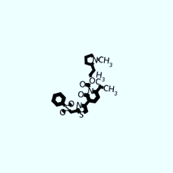 CC(C)c1ccc(-c2csc(CS(=O)(=O)c3ccccc3)n2)c(=O)n1C(=O)OCCC1CCCN1C